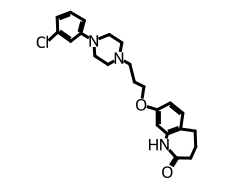 O=C1CCCc2ccc(OCCCN3CCN(c4cccc(Cl)c4)CC3)cc2N1